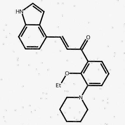 CCOc1c(C(=O)C=Cc2cccc3[nH]ccc23)cccc1N1CCCCC1